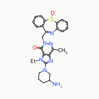 CCn1c(N2CCCC(N)C2)nc2c(C)nn(CC3=Nc4ccccc4[S+]([O-])c4ccccc43)c(=O)c21